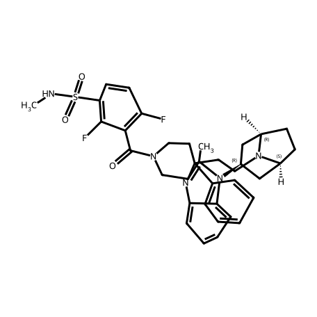 CNS(=O)(=O)c1ccc(F)c(C(=O)N2CCC(CCN3[C@@H]4CC[C@H]3C[C@@H](n3c(C)nc5ccccc53)C4)(c3ccccc3)CC2)c1F